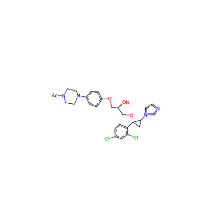 CC(=O)N1CCN(c2ccc(OC[C@@H](O)CO[C@@]3(c4ccc(Cl)cc4Cl)CC3n3ccnc3)cc2)CC1